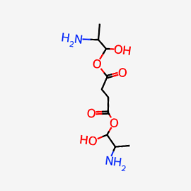 CC(N)C(O)OC(=O)CCC(=O)OC(O)C(C)N